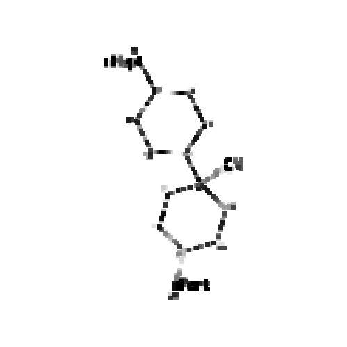 CCCCCCCC1CCC([C@]2(C#N)CC[C@@H](CCCCC)CC2)CC1